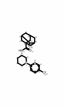 O=C(N[C@H]1CCCN(c2ccc(C(F)(F)F)cn2)C1)C12CC3CC(C1)C(O)C(C3)C2